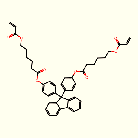 C=CC(=O)OCCCCCC(=O)Oc1ccc(C2(c3ccc(OC(=O)CCCCCOC(=O)C=C)cc3)c3ccccc3-c3ccccc32)cc1